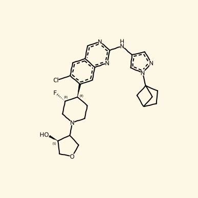 O[C@@H]1COCC1N1CC[C@H](c2cc3nc(Nc4cnn(C56CCC(C5)C6)c4)ncc3cc2Cl)[C@@H](F)C1